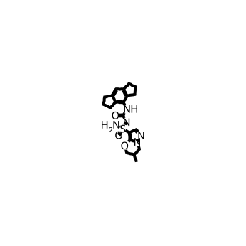 CC1COc2c(S(N)(=O)=NC(=O)Nc3c4c(cc5c3CCC5)CCC4)cnn2C1